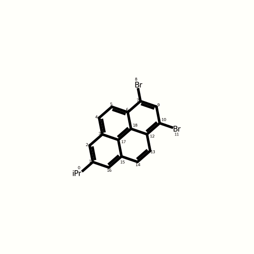 CC(C)c1cc2ccc3c(Br)cc(Br)c4ccc(c1)c2c34